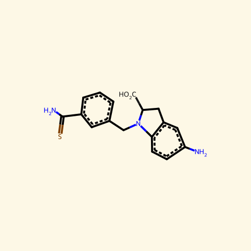 NC(=S)c1cccc(CN2c3ccc(N)cc3CC2C(=O)O)c1